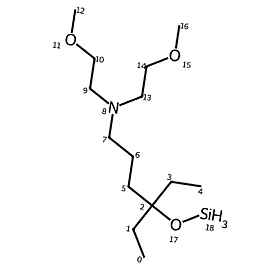 CCC(CC)(CCCN(CCOC)CCOC)O[SiH3]